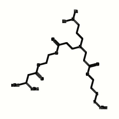 CCCCCCCCCCSSCCOC(=O)CCN(CCCN(CC)CC)CCC(=O)OCCOC(=O)CC(CCCCCCCC)CCCCCCCC